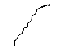 CCCCCCCCCCCCC#CBr